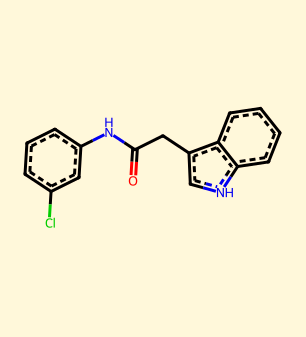 O=C(Cc1c[nH]c2ccccc12)Nc1cccc(Cl)c1